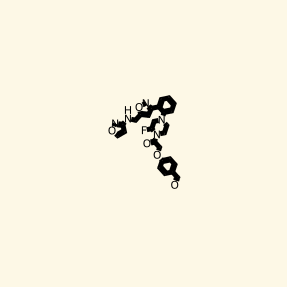 O=Cc1ccc(OCC(=O)N2CCN(c3ccccc3-c3cc(CNc4ccon4)on3)CC2F)cc1